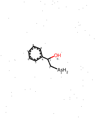 OC(C[AsH2])c1ccccc1